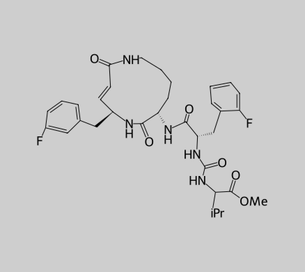 COC(=O)C(NC(=O)N[C@@H](Cc1ccccc1F)C(=O)N[C@H]1CCCCNC(=O)/C=C/[C@H](Cc2cccc(F)c2)NC1=O)C(C)C